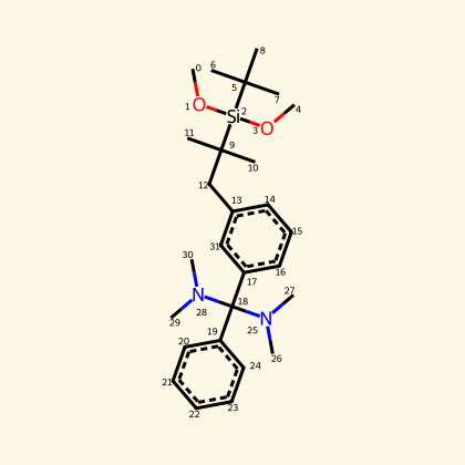 CO[Si](OC)(C(C)(C)C)C(C)(C)Cc1cccc(C(c2ccccc2)(N(C)C)N(C)C)c1